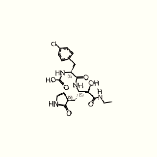 CCNC(=O)C(O)[C@H](C[C@@H]1CCNC1=O)NC(=O)[C@H](Cc1ccc(Cl)cc1)NC(=O)O